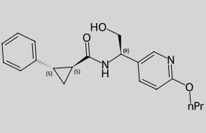 CCCOc1ccc([C@H](CO)NC(=O)[C@H]2C[C@@H]2c2ccccc2)cn1